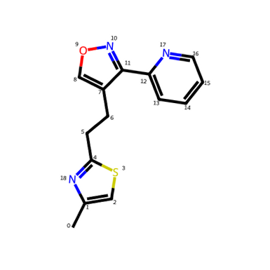 Cc1csc(CCc2conc2-c2ccccn2)n1